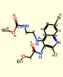 CCOCC(=O)Nc1c(Cl)nc2cc(Br)ccc2c1NCCNC(=O)OC(C)(C)C